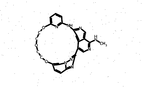 CNc1ncc2c3cc(ncc13)Nc1cccc(n1)OCCOCCOc1ccc3nc-2nn3c1